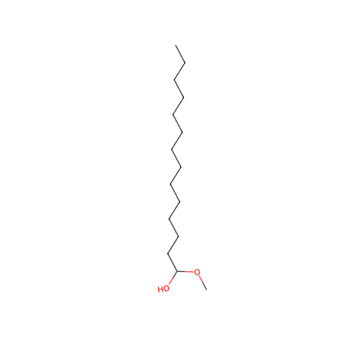 CCCCCCCCCCCCCC(O)OC